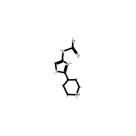 CCC(=O)Oc1csc(C2CCNCC2)n1